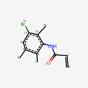 C=CC(=O)Nc1c(C)c(C)cc(Br)c1C